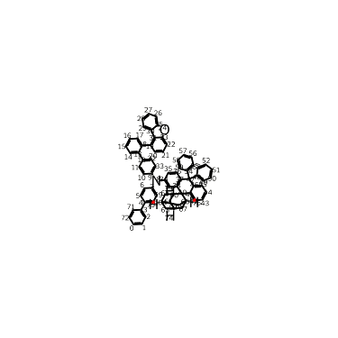 c1ccc(-c2ccc(N(c3ccc(-c4ccccc4-c4cccc5oc6ccccc6c45)cc3)c3ccc4c(c3)C3(c5ccccc5C4(c4ccccc4)c4ccccc4)[C@H]4C[C@H]5C[C@H](C[C@H]3C5)C4)cc2)cc1